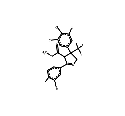 COC(=O)C1C(c2ccc(F)c(Br)c2)=NCC1(c1cc(Cl)c(Cl)c(Cl)c1)C(F)(F)F